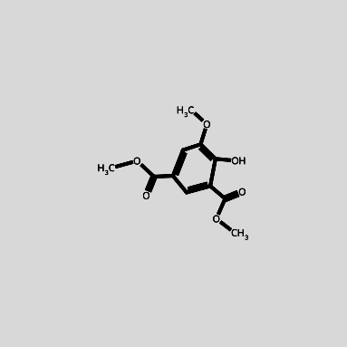 COC(=O)c1cc(OC)c(O)c(C(=O)OC)c1